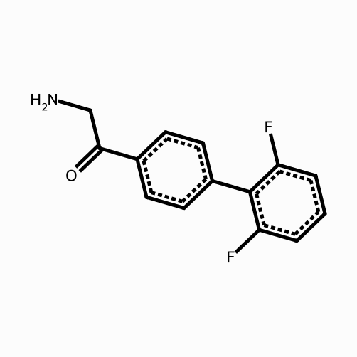 NCC(=O)c1ccc(-c2c(F)cccc2F)cc1